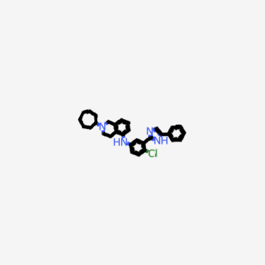 Clc1ccc(Nc2cccc3c2CCN(C2CCCCCC2)C3)cc1-c1ncc(-c2ccccc2)[nH]1